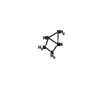 [SiH2]1[SiH2][SiH]2[SiH2][SiH]12